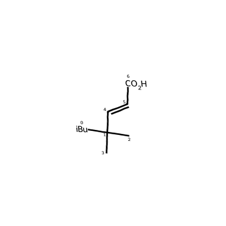 CCC(C)C(C)(C)C=CC(=O)O